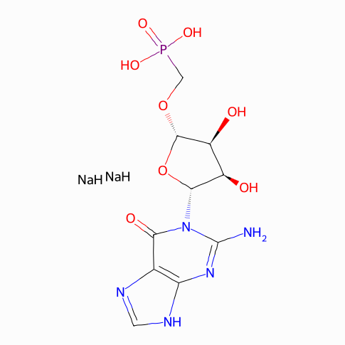 Nc1nc2[nH]cnc2c(=O)n1[C@@H]1O[C@H](OCP(=O)(O)O)[C@@H](O)[C@H]1O.[NaH].[NaH]